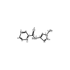 CC(C)n1cc(NC(=O)c2cnccn2)cn1